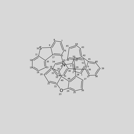 c1ccc(N(c2cccc3sc4ccccc4c23)c2cccc3oc4cccc(C5(c6ccccc6)c6ccccc6-c6ccccc65)c4c23)cc1